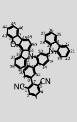 N#Cc1cccc(C#N)c1-c1cccc(-c2ccc(-n3c4ccccc4c4ccccc43)cc2-n2c3ccccc3c3c4oc5ccccc5c4ccc32)c1